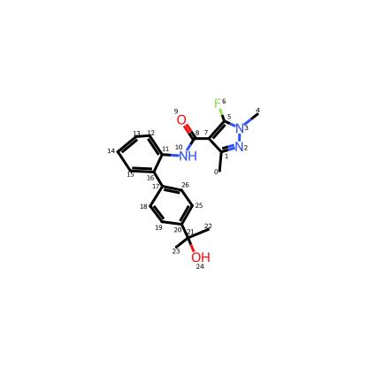 Cc1nn(C)c(F)c1C(=O)Nc1ccccc1-c1ccc(C(C)(C)O)cc1